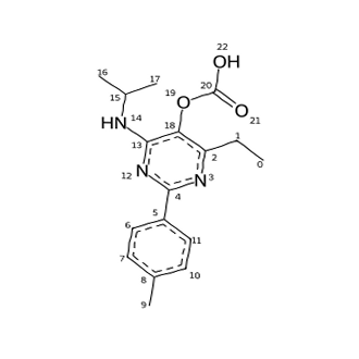 CCc1nc(-c2ccc(C)cc2)nc(NC(C)C)c1OC(=O)O